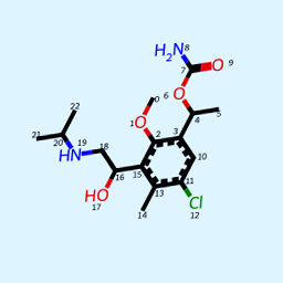 COc1c(C(C)OC(N)=O)cc(Cl)c(C)c1C(O)CNC(C)C